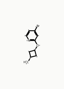 C[C@H]1C[C@@H](Oc2cc(Br)ccn2)C1